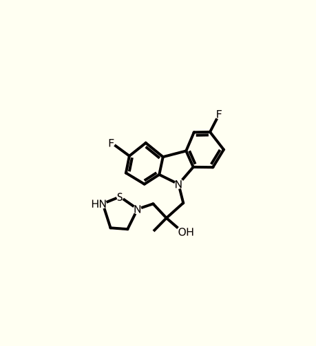 CC(O)(CN1CCNS1)Cn1c2ccc(F)cc2c2cc(F)ccc21